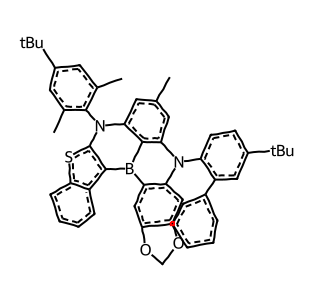 Cc1cc2c3c(c1)N(c1c(C)cc(C(C)(C)C)cc1C)c1sc4ccccc4c1B3c1cc3c(cc1N2c1ccc(C(C)(C)C)cc1-c1ccccc1)OCO3